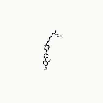 CC(O)CCC/C=C/c1ncc(-c2ccc(-c3ccc(O)cc3F)cc2)cn1